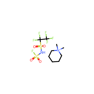 C[N+]1(C)CCCCC1.O=S(=O)(F)NS(=O)(=O)C(F)(F)C(F)(F)F